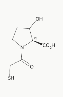 O=C(O)[C@@H]1C(O)CCN1C(=O)CS